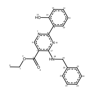 CCOC(=O)c1cnc(-c2ccccc2O)nc1NCc1ccccc1